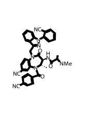 CNC(C)C(=O)N[C@@H]1C(=O)N(Cc2nn(-c3ccccc3C#N)c3ccccc23)c2ccc(C#N)cc2N(C(=O)c2ccc(C#N)cc2)[C@H]1C